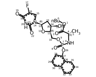 CCCCOC(=O)[C@H](C)NP(=O)(OC[C@H]1O[C@@H](n2cc(F)c(=O)[nH]c2=O)C[C@H]1O)Oc1cccc2ccccc12